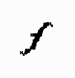 C=CC(=O)OCCCCOC(=O)c1ccc(-c2ccc(OC(=O)c3ccc(OC(=O)c4ccc(OCCCCOC(=O)C=C)cc4)c(CO)c3)cc2)cc1